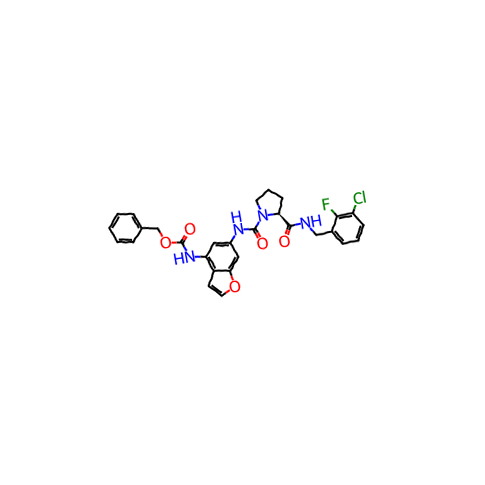 O=C(Nc1cc(NC(=O)N2CCC[C@H]2C(=O)NCc2cccc(Cl)c2F)cc2occc12)OCc1ccccc1